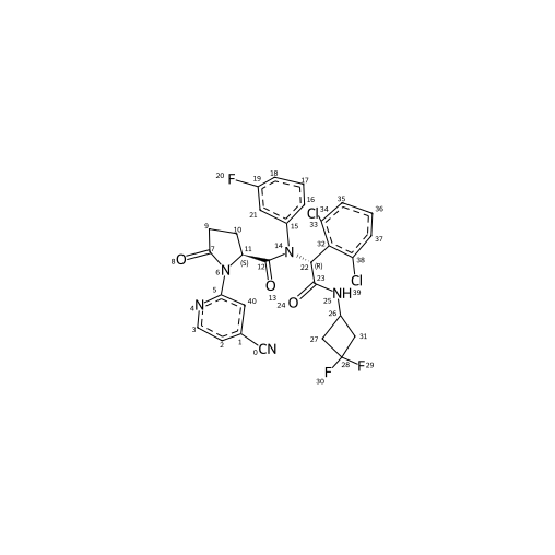 N#Cc1ccnc(N2C(=O)CC[C@H]2C(=O)N(c2cccc(F)c2)[C@@H](C(=O)NC2CC(F)(F)C2)c2c(Cl)cccc2Cl)c1